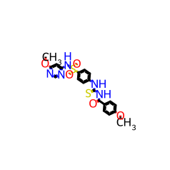 COc1ccc(C(=O)NC(=S)Nc2ccc(S(=O)(=O)Nc3cc(OC)ncn3)cc2)cc1